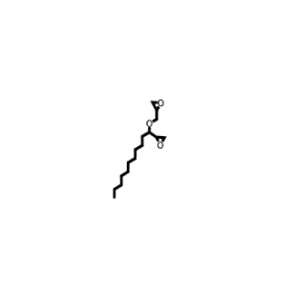 CCCCCCCCCCC(OCC1CO1)C1CO1